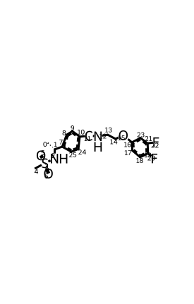 C[C@@H](NS(C)(=O)=O)c1ccc(CNCCOc2ccc(F)c(F)c2)cc1